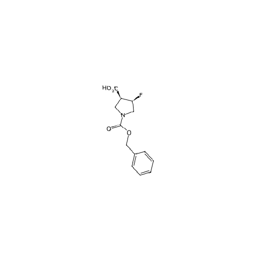 O=C(O)[C@@H]1CN(C(=O)OCc2ccccc2)C[C@@H]1F